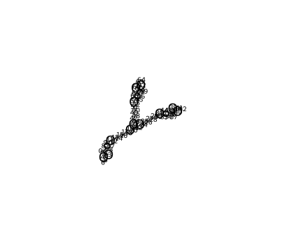 C=C(C(=O)OCC)c1ccc(OCCCCCCCOCC(COCCCCCCCOc2ccc(C(=C)C(=O)OCC)cc2)OCCCCCCCOc2ccc(C(=C)C(=O)OCC)cc2)cc1